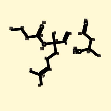 C=CC(C)(CCC=C(C)C)OC(=O)CCC.CC(O)CC=O